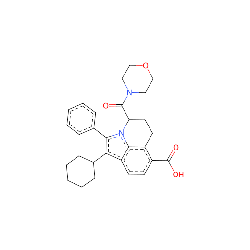 O=C(O)c1ccc2c(C3CCCCC3)c(-c3ccccc3)n3c2c1CCC3C(=O)N1CCOCC1